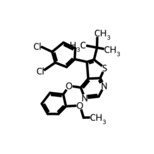 CCOc1ccccc1Oc1ncnc2sc(C(C)(C)C)c(-c3ccc(Cl)c(Cl)c3)c12